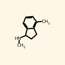 CNC1CCc2c(C)cccc21